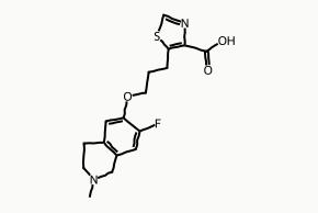 CN1CCc2cc(OCCCc3scnc3C(=O)O)c(F)cc2C1